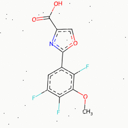 COc1c(F)c(F)cc(-c2nc(C(=O)O)co2)c1F